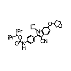 CC(C)C(OC(=O)Nc1ccc(-c2c(C#N)c3ccc(OC4CCOC4)cc3n2C2CCC2)cc1)C(C)C